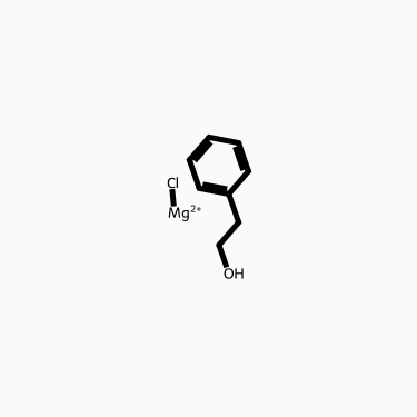 OCCc1ccccc1.[Mg+2][Cl]